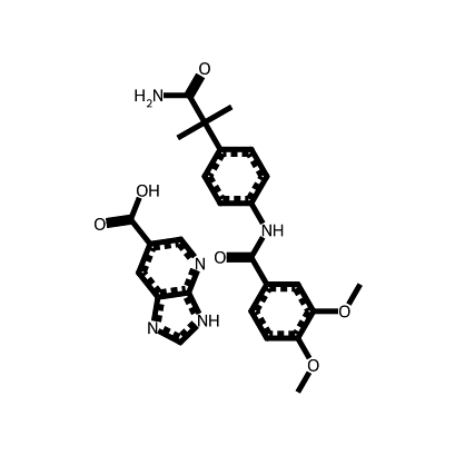 COc1ccc(C(=O)Nc2ccc(C(C)(C)C(N)=O)cc2)cc1OC.O=C(O)c1cnc2[nH]cnc2c1